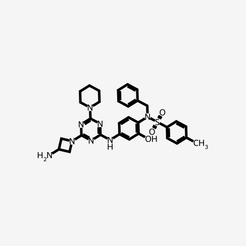 Cc1ccc(S(=O)(=O)N(Cc2ccccc2)c2ccc(Nc3nc(N4CCCCC4)nc(N4CC(N)C4)n3)cc2O)cc1